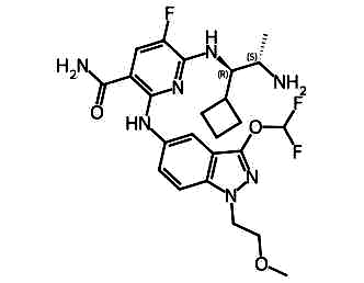 COCCn1nc(OC(F)F)c2cc(Nc3nc(N[C@H](C4CCC4)[C@H](C)N)c(F)cc3C(N)=O)ccc21